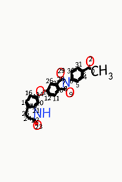 CC(=O)c1ccc(N2C(=O)c3ccc(Oc4ccc5c(c4)NC(=O)CC5)cc3C2=O)cc1